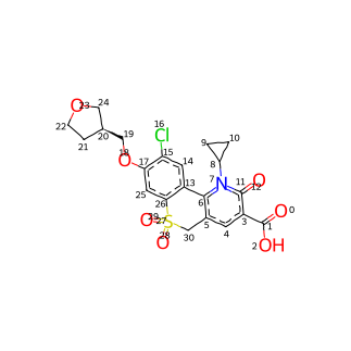 O=C(O)c1cc2c(n(C3CC3)c1=O)-c1cc(Cl)c(OC[C@H]3CCOC3)cc1S(=O)(=O)C2